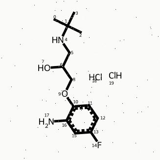 CC(C)(C)NCC(O)COc1ccc(F)cc1N.Cl.Cl